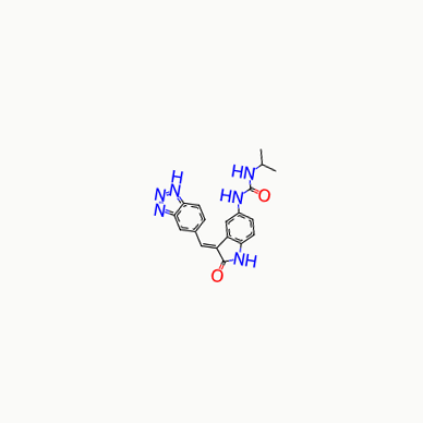 CC(C)NC(=O)Nc1ccc2c(c1)/C(=C\c1ccc3[nH]nnc3c1)C(=O)N2